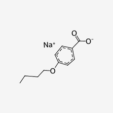 CCCCOc1ccc(C(=O)[O-])cc1.[Na+]